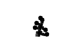 COC1C(O)[C@@H](COCc2ccccc2)O[C@H]1OCC(OCc1ccccc1)C(OCc1ccccc1)C(COCc1ccc2ccccc2c1)OCc1ccccc1